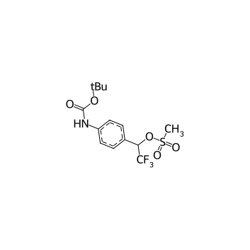 CC(C)(C)OC(=O)Nc1ccc(C(OS(C)(=O)=O)C(F)(F)F)cc1